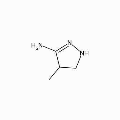 CC1CNN=C1N